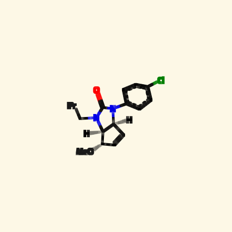 CO[C@H]1C=C[C@H]2[C@@H]1N(CC(C)C)C(=O)N2c1ccc(Cl)cc1